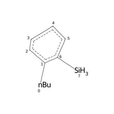 CCCCc1ccccc1[SiH3]